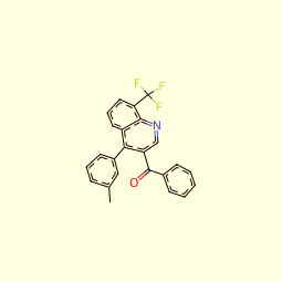 Cc1cccc(-c2c(C(=O)c3ccccc3)cnc3c(C(F)(F)F)cccc23)c1